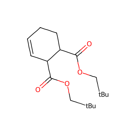 CC(C)(C)COC(=O)C1C=CCCC1C(=O)OCC(C)(C)C